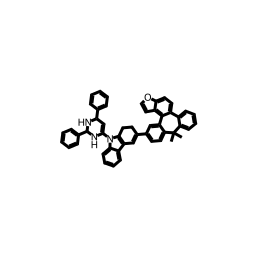 CC1(C)c2ccccc2-c2ccc3occc3c2-c2cc(C3=Cc4c(n(C5=CC(c6ccccc6)NC(c6ccccc6)N5)c5ccccc45)CC3)ccc21